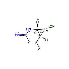 CC1CC(=N)N[C@@H]2[C@H](Cl)[C@@H]12